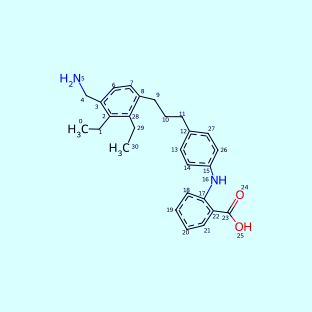 CCc1c(CN)ccc(CCCc2ccc(Nc3ccccc3C(=O)O)cc2)c1CC